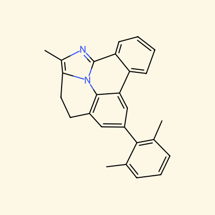 Cc1cccc(C)c1-c1cc2c3c(c1)c1ccccc1c1nc(C)c(n13)CC2